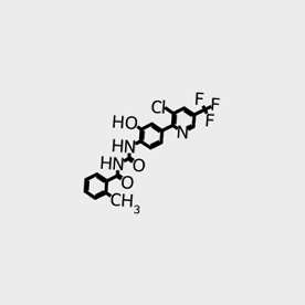 Cc1ccccc1C(=O)NC(=O)Nc1ccc(-c2ncc(C(F)(F)F)cc2Cl)cc1O